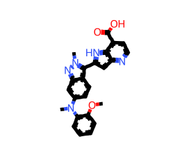 COc1ccccc1N(C)c1ccc2c(-c3cc4nccc(C(=O)O)c4[nH]3)n(C)nc2c1